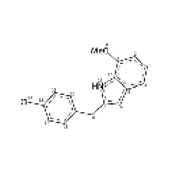 COc1cccc2cc(Cc3ccc(Cl)cc3)[nH]c12